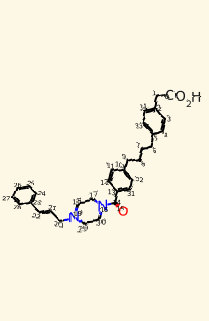 O=C(O)Cc1ccc(CCCCc2ccc(C(=O)N3CCN(CC=Cc4ccccc4)CC3)cc2)cc1